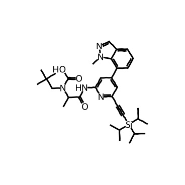 CC(C(=O)Nc1cc(-c2cccc3cnn(C)c23)cc(C#C[Si](C(C)C)(C(C)C)C(C)C)n1)N(CC(C)(C)C)C(=O)O